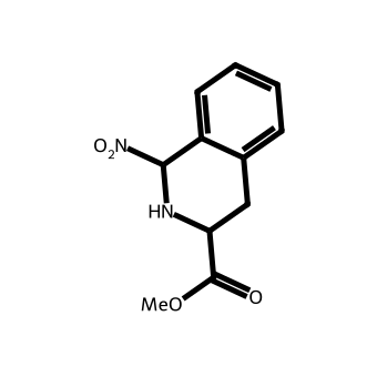 COC(=O)C1Cc2ccccc2C([N+](=O)[O-])N1